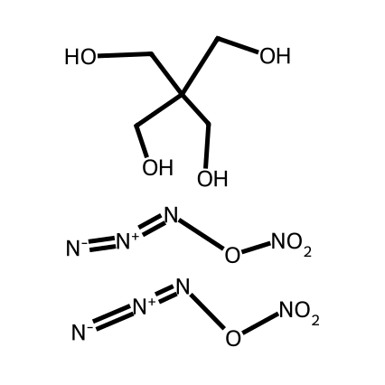 OCC(CO)(CO)CO.[N-]=[N+]=NO[N+](=O)[O-].[N-]=[N+]=NO[N+](=O)[O-]